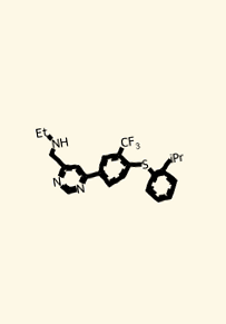 CCNCc1cc(-c2ccc(Sc3ccccc3C(C)C)c(C(F)(F)F)c2)ncn1